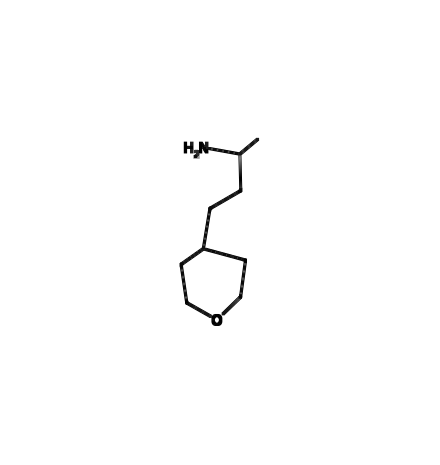 CC(N)CCC1CCOCC1